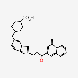 C=C1C=C(C(=O)CCC2=CC3C=C(CC4CCC(C(=O)O)CC4)C=CC3=C2)C=C2C=CC=CC12